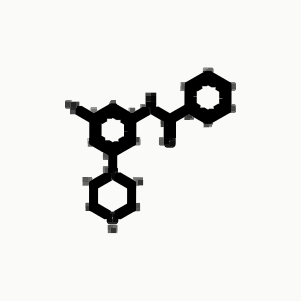 O=C(Nc1cc(F)cc(N2CCOCC2)c1)c1ccccc1